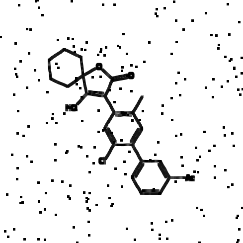 CC(=O)c1cccc(-c2cc(C)c(C3=C(O)C4(CCCCC4)OC3=O)cc2Cl)c1